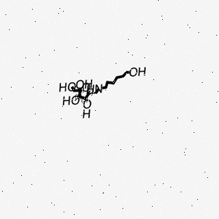 OCCCCCCNC[C@@H]1O[C@](O)(CO)[C@@H](O)[C@@H]1O